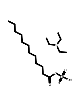 CCCCCCCCCCCC(=O)OS(=O)(=O)O.CCN(CC)CC